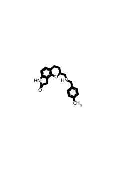 Cc1ccc(CNCC2CCc3ccc4c(c3O2)CC(=O)N4)cc1